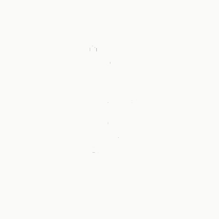 CCC(C)(C)OC(=O)COC(C)C